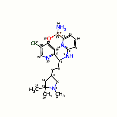 CN1CC(CCC(Nc2cccc([S+](N)[O-])n2)c2ccc(Cl)cn2)CC1(C)C